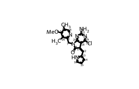 COc1c(C)cnc(CN2C(=O)/C(=C\c3ccc[nH]3)c3c(Cl)nc(N)nc32)c1C